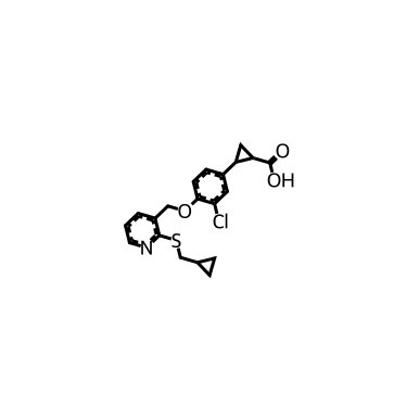 O=C(O)C1CC1c1ccc(OCc2cccnc2SCC2CC2)c(Cl)c1